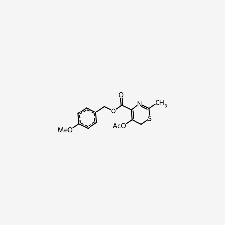 COc1ccc(COC(=O)C2=C(OC(C)=O)CSC(C)=N2)cc1